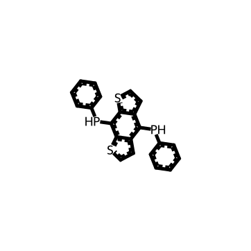 c1ccc(Pc2c3ccsc3c(Pc3ccccc3)c3sccc23)cc1